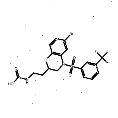 O=C(O)NCCC1CN(S(=O)(=O)c2cccc(C(F)(F)F)c2)c2cc(Br)ccc2O1